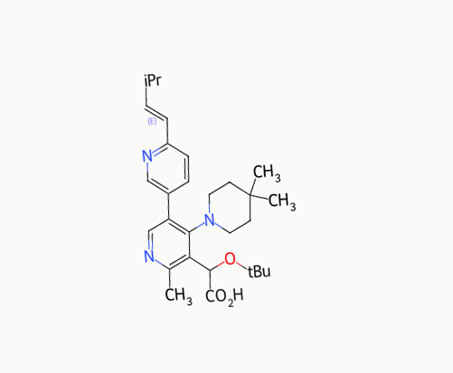 Cc1ncc(-c2ccc(/C=C/C(C)C)nc2)c(N2CCC(C)(C)CC2)c1C(OC(C)(C)C)C(=O)O